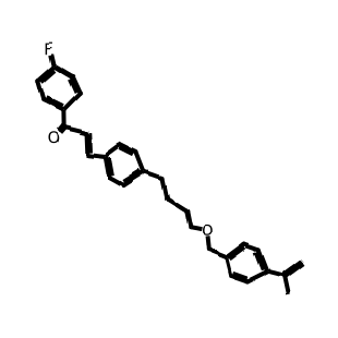 C=C(C)c1ccc(COCCCCc2ccc(C=CC(=O)c3ccc(F)cc3)cc2)cc1